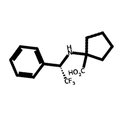 O=C(O)C1(N[C@@H](c2ccccc2)C(F)(F)F)CCCC1